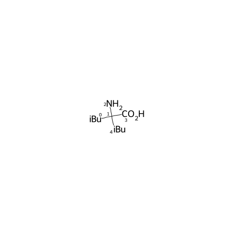 CCC(C)C(N)(C(=O)O)C(C)CC